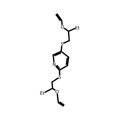 C=COC(CC)CSc1ccc(SCC(CC)OC=C)nc1